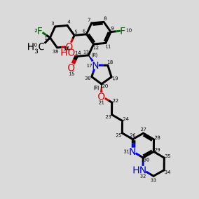 CC1(F)CCC(c2ccc(F)cc2[C@H](C(=O)O)N2CC[C@@H](OCCCCc3ccc4c(n3)NCCC4)C2)OC1